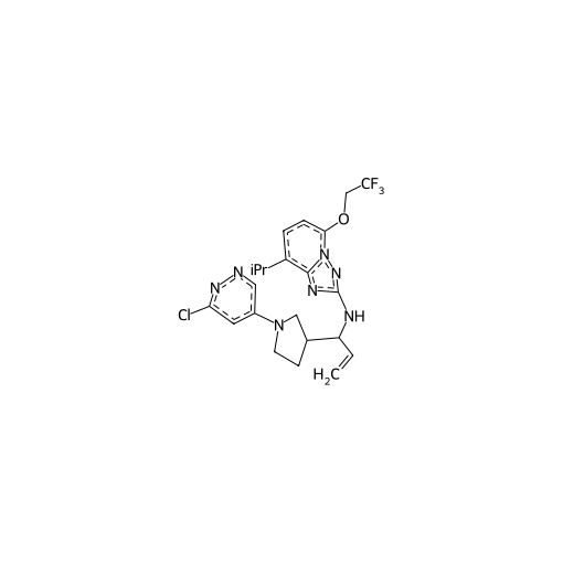 C=CC(Nc1nc2c(C(C)C)ccc(OCC(F)(F)F)n2n1)C1CCN(c2cnnc(Cl)c2)C1